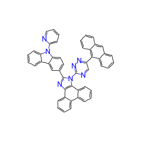 c1ccc(-n2c3ccccc3c3cc(-c4nc5c6ccccc6c6ccccc6c5n4-c4ncc(-c5c6ccccc6cc6ccccc56)nn4)ccc32)nc1